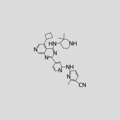 Cc1nc(Nc2cc(-c3nc(NC4CCNCC4(C)C)c4c(C5CCC5)cncc4n3)ccn2)ccc1C#N